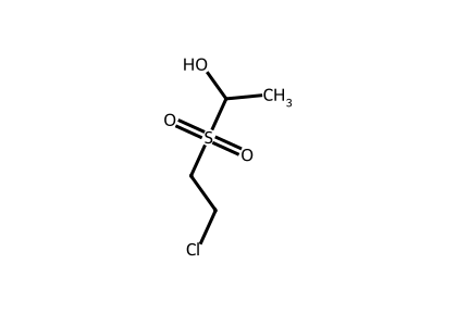 CC(O)S(=O)(=O)CCCl